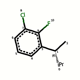 CC(C)[C@@H](C)c1cccc(Cl)c1F